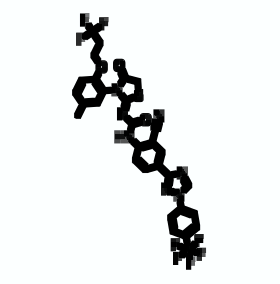 Cc1ccc(OCCC(F)(F)F)c(N2C(=O)CSC2=NC(=O)Nc2ccc(-c3ncn(-c4ccc(S(F)(F)(F)(F)F)cc4)n3)cc2C#N)c1